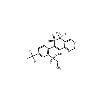 CCS(=O)(=O)c1cc(C(F)(F)F)ccc1C1=C(O)c2ncccc2C(C)(C)S1(=O)=O